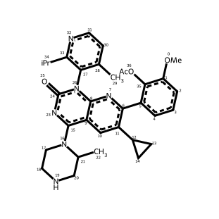 COc1cccc(-c2nc3c(cc2C2CC2)c(N2CCNCC2C)nc(=O)n3-c2c(C)ccnc2C(C)C)c1OC(C)=O